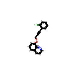 Fc1ccccc1C#CCOc1cccc2cccnc12